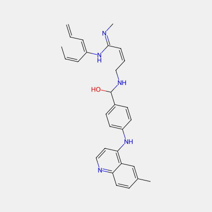 C=C/C=C(\C=C/C)NC(/C=C\CNC(O)c1ccc(Nc2ccnc3ccc(C)cc23)cc1)=N/C